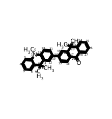 CN1c2ccccc2C(C)(C)c2cc(-c3ccc4c(c3)C(C)(C)c3ccccc3C4=O)ccc21